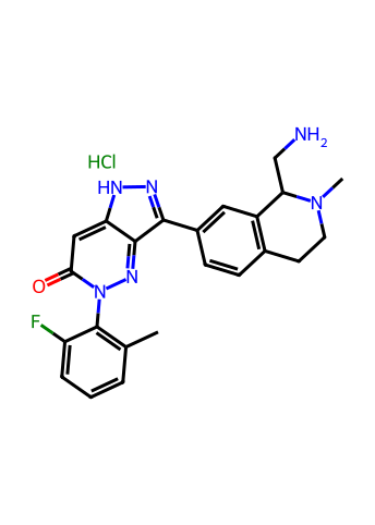 Cc1cccc(F)c1-n1nc2c(-c3ccc4c(c3)C(CN)N(C)CC4)n[nH]c2cc1=O.Cl